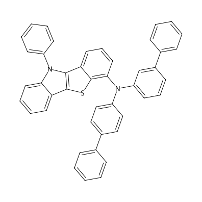 c1ccc(-c2ccc(N(c3cccc(-c4ccccc4)c3)c3cccc4c3sc3c5ccccc5n(-c5ccccc5)c43)cc2)cc1